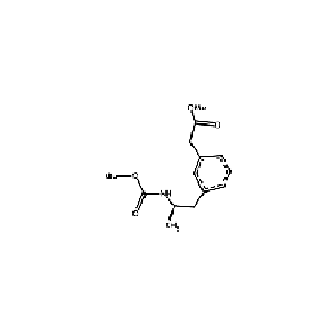 COC(=O)Cc1cccc(C[C@@H](C)NC(=O)OC(C)(C)C)c1